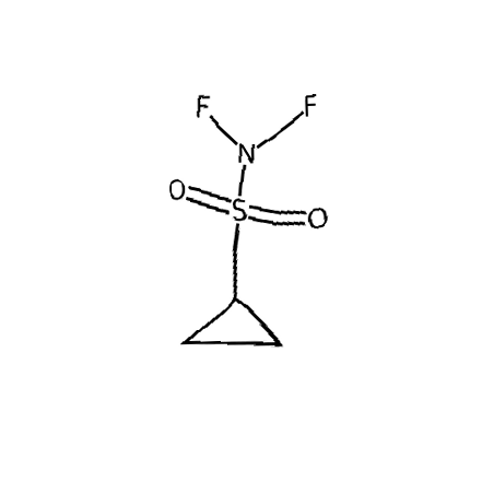 O=S(=O)(C1CC1)N(F)F